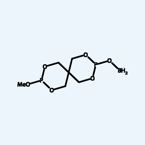 BOP1OCC2(CO1)COP(OC)OC2